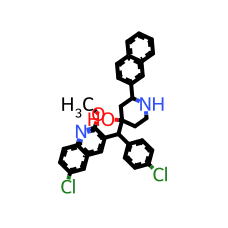 COc1nc2ccc(Cl)cc2cc1C(c1ccc(Cl)cc1)C1(O)CCNC(c2ccc3ccccc3c2)C1